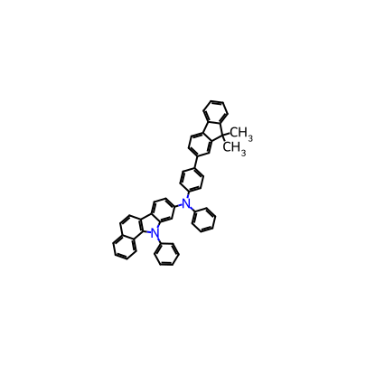 CC1(C)c2ccccc2-c2ccc(-c3ccc(N(c4ccccc4)c4ccc5c6ccc7ccccc7c6n(-c6ccccc6)c5c4)cc3)cc21